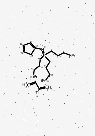 C=CC=C.CC(C)CCCP(CCCC(C)C)(CCCC(C)C)=NC1=CC=CC1.[Ti]